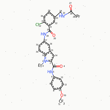 CCn1c(C(=O)Nc2ccc(OC(F)(F)F)cc2)cc2cc(NC(=O)c3cc(CNC(=O)C(C)C)ccc3Cl)ccc21